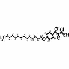 CCCCCCCCCCCCCCOc1ccc(C(=O)C(=O)C(C)Cl)cc1